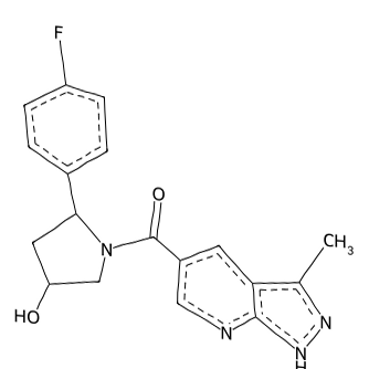 Cc1n[nH]c2ncc(C(=O)N3CC(O)CC3c3ccc(F)cc3)cc12